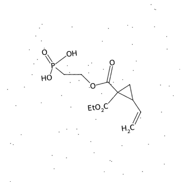 C=CC1CC1(C(=O)OCC)C(=O)OCCP(=O)(O)O